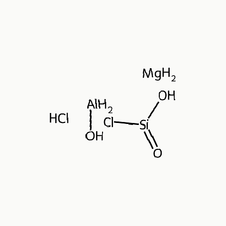 Cl.O=[Si](O)Cl.[MgH2].[OH][AlH2]